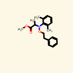 COC(=O)C(C)N(OCCc1ccccc1)c1c(C)cccc1C